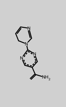 C=C(N)c1cnc(N2C=NC=CC2)nc1